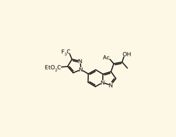 CCOC(=O)c1cn(-c2ccn3ncc(/C(C(C)=O)=C(\C)O)c3c2)nc1C(F)(F)F